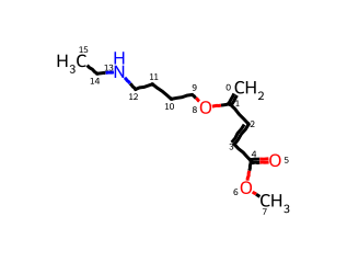 C=C(/C=C/C(=O)OC)OCCCCNCC